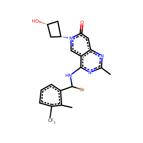 Cc1nc(NC(Br)c2cccc(C(F)(F)F)c2C)c2cn([C@H]3C[C@@H](O)C3)c(=O)cc2n1